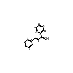 [CH]=C(C=Cc1ccccc1)c1ccccc1